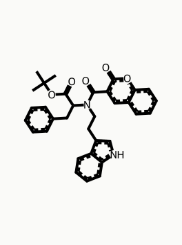 CC(C)(C)OC(=O)C(Cc1ccccc1)N(CCc1c[nH]c2ccccc12)C(=O)c1cc2ccccc2oc1=O